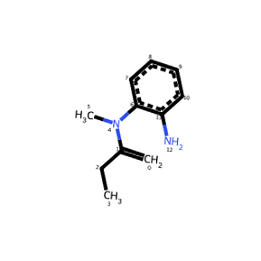 C=C(CC)N(C)c1ccccc1N